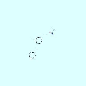 COc1cc(CCOC(=N)C(Cl)(Cl)Cl)ccc1OCc1ccccc1